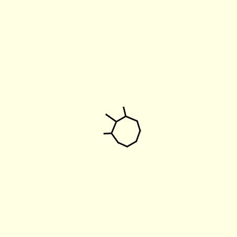 CC1CCCCCC(C)C1C